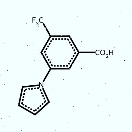 O=C(O)c1cc(-n2cccc2)cc(C(F)(F)F)c1